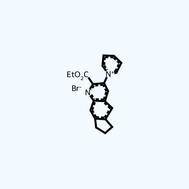 CCOC(=O)c1nc2cc3c(cc2cc1-[n+]1ccccc1)CCC3.[Br-]